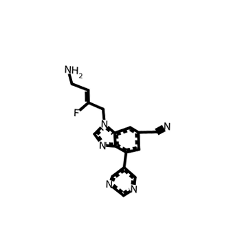 N#Cc1cc(-c2cncnc2)c2ncn(C/C(F)=C/CN)c2c1